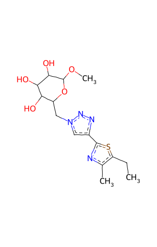 CCc1sc(-c2cn(CC3OC(OC)C(O)C(O)C3O)nn2)nc1C